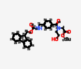 CC(C)(C)OC(=O)CN(CCO)C(=O)c1ccc(CNC(=O)OCC2c3ccccc3-c3ccccc32)cc1